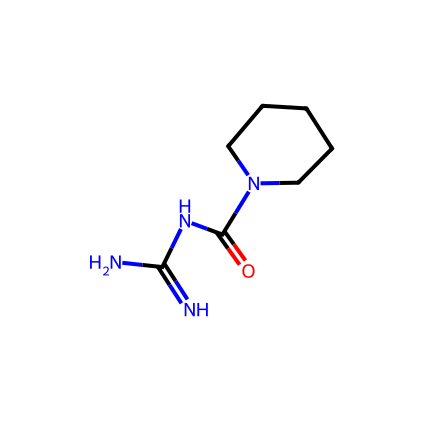 N=C(N)NC(=O)N1CCCCC1